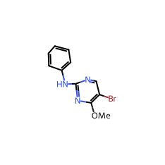 COc1nc(Nc2ccccc2)ncc1Br